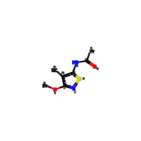 CC(C)Oc1nsc(NC(=O)C(C)C)c1C#N